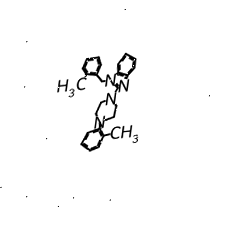 Cc1ccccc1Cn1c(N2CCN(c3ccccc3C)CC2)nc2ccccc21